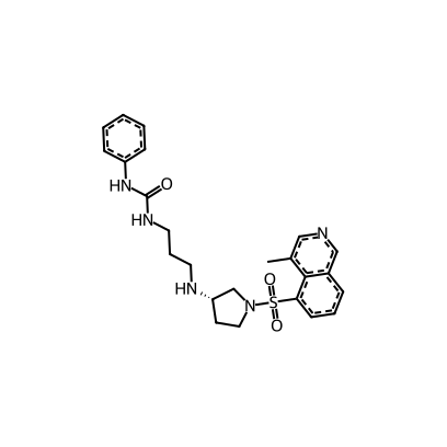 Cc1cncc2cccc(S(=O)(=O)N3CC[C@H](NCCCNC(=O)Nc4ccccc4)C3)c12